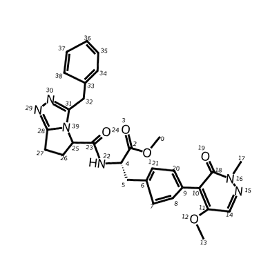 COC(=O)[C@H](Cc1ccc(-c2c(OC)cnn(C)c2=O)cc1)NC(=O)C1CCc2nnc(Cc3ccccc3)n21